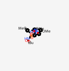 COc1ccc(CN(Cc2ccc(OC)cc2)S(=O)(=O)c2c(S(=O)(=O)CCNC(=O)OC(C)(C)C)ccc(-c3ccccc3N)c2-c2nnn(Cc3ccc(OC)cc3)n2)cc1